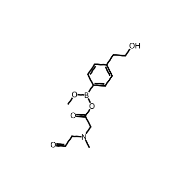 COB(OC(=O)CN(C)CC=O)c1ccc(CCO)cc1